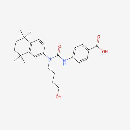 CC1(C)CCC(C)(C)c2cc(N(CCCCO)C(=O)Nc3ccc(C(=O)O)cc3)ccc21